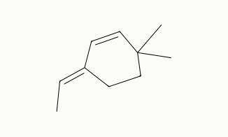 C/C=C1/C=CC(C)(C)CC1